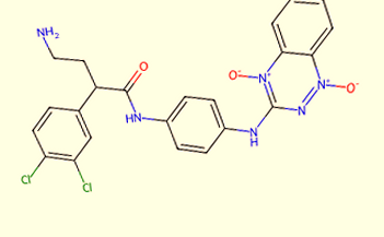 NCCC(C(=O)Nc1ccc(Nc2n[n+]([O-])c3ccccc3[n+]2[O-])cc1)c1ccc(Cl)c(Cl)c1